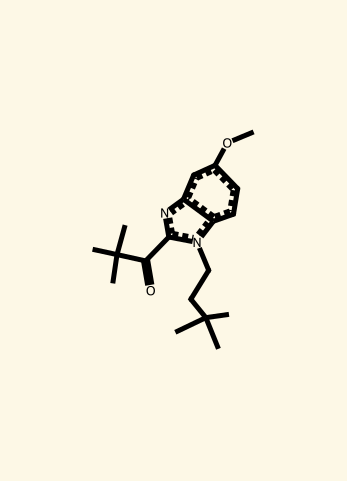 COc1ccc2c(c1)nc(C(=O)C(C)(C)C)n2CCC(C)(C)C